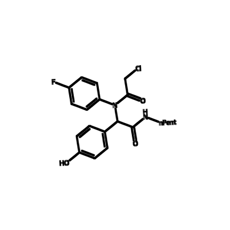 CCCCCNC(=O)C(c1ccc(O)cc1)N(C(=O)CCl)c1ccc(F)cc1